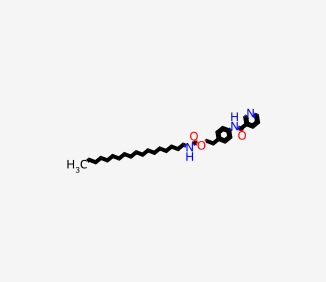 CCCCCCCCCCCCCCCCCCNC(=O)OCCc1ccc(NC(=O)c2cccnc2)cc1